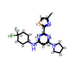 Cc1csc(-c2nc(NC3CCC(F)(F)CC3)cc(N3CCCC3)n2)n1